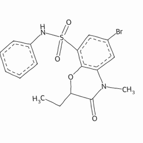 CCC1Oc2c(cc(Br)cc2S(=O)(=O)Nc2ccccc2)N(C)C1=O